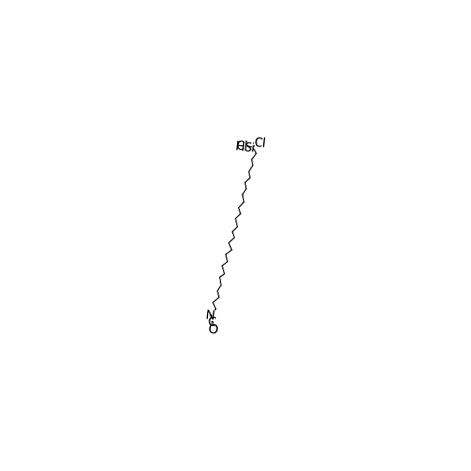 O=C=NCCCCCCCCCCCCCCCCCCCCCCCCCCC[SiH](Cl)Cl